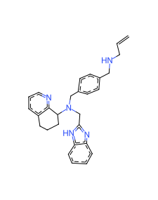 C=CCNCc1ccc(CN(Cc2nc3ccccc3[nH]2)C2CCCc3cccnc32)cc1